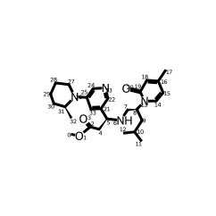 COC(=O)C[C@H](NC[C@H](CC(C)C)n1ccc(C)cc1=O)c1cncc(N2CCCC[C@@H]2C)c1